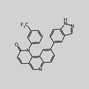 O=c1ccc2cnc3ccc(-c4ccc5[nH]ncc5c4)cc3c2n1-c1cccc(C(F)(F)F)c1